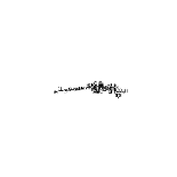 CC[C@H](C)[C@@H]([C@@H](CC(=O)N1CCC[C@H]1[C@H](OC)[C@@H](C)C(=O)N[C@@H](Cc1ccccc1)C(=O)O)OC)N(C)C(=O)[C@@H](NC(=O)C(C)(C)N(C)C(=O)CCOCCOCCOCCOCCOCCC(=O)C(C)C)C(C)C